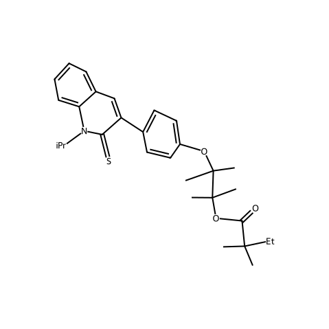 CCC(C)(C)C(=O)OC(C)(C)C(C)(C)Oc1ccc(-c2cc3ccccc3n(C(C)C)c2=S)cc1